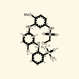 COc1ccc(NS(=O)(=O)CCl)cc1Nc1ncc(Cl)c(Nc2ccccc2P(C)(C)=O)n1